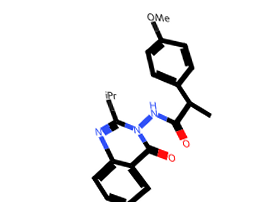 COc1ccc(C(C)C(=O)Nn2c(C(C)C)nc3ccccc3c2=O)cc1